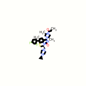 C=CC(=O)N1C[C@H](C)N(c2nc(=O)n3c4c(c(-c5ccc(F)cc5F)c(C)cc24)SC[C@@H]3CN2CCN(C3CC3)CC2)C[C@H]1C